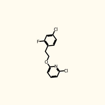 Fc1cc(Cl)ccc1CCOc1cccc(Cl)n1